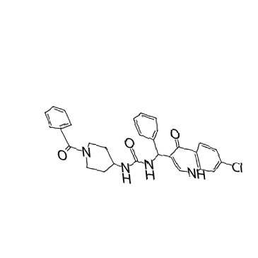 O=C(NC1CCN(C(=O)c2ccccc2)CC1)NC(c1ccccc1)c1c[nH]c2cc(Cl)ccc2c1=O